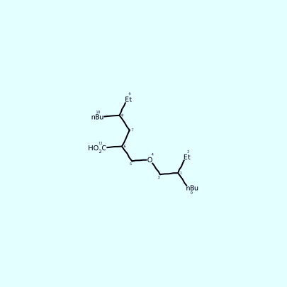 CCCCC(CC)COCC(CC(CC)CCCC)C(=O)O